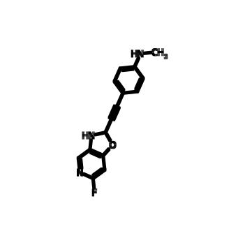 CNc1ccc(C#CC2Nc3cnc(F)cc3O2)cc1